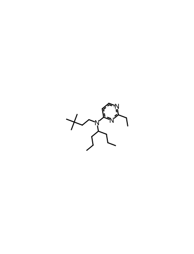 CCCC(CCC)N(CCC(C)(C)C)c1ccnc(CC)n1